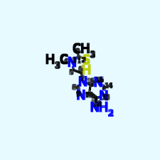 CC(S)N(C)CCn1cnc2c(N)ncnc21